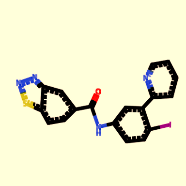 O=C(Nc1ccc(I)c(-c2ccccn2)c1)c1ccc2snnc2c1